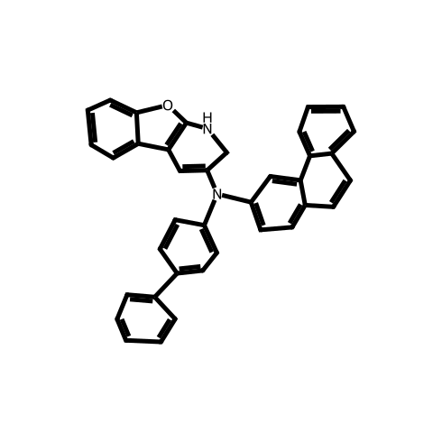 C1=C(N(c2ccc(-c3ccccc3)cc2)c2ccc3ccc4ccccc4c3c2)CNc2oc3ccccc3c21